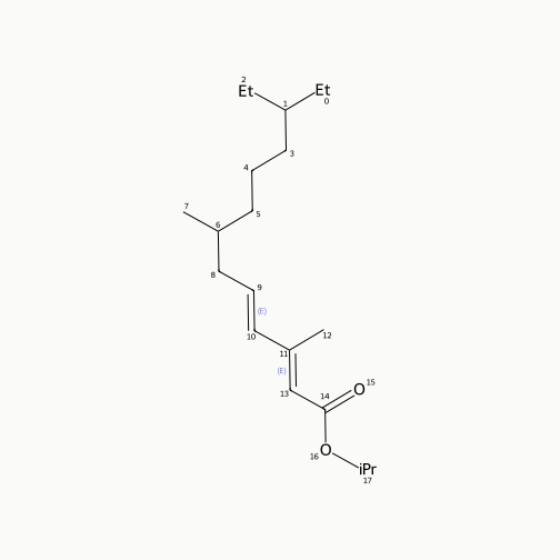 CCC(CC)CCCC(C)C/C=C/C(C)=C/C(=O)OC(C)C